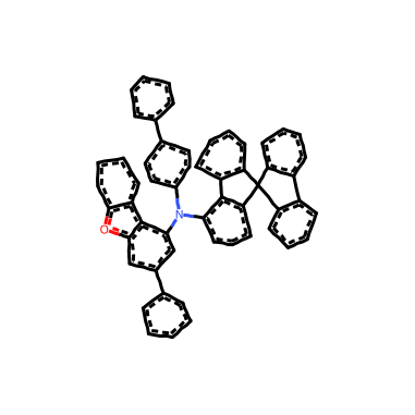 c1ccc(-c2ccc(N(c3cccc4c3-c3ccccc3C43c4ccccc4-c4ccccc43)c3cc(-c4ccccc4)cc4oc5ccccc5c34)cc2)cc1